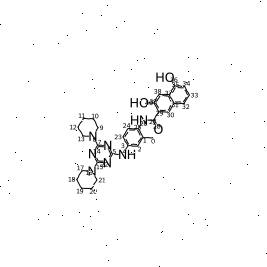 Cc1cc(Nc2nc(N3CCCCC3)nc(N3CCCCC3)n2)ccc1NC(=O)c1cc2cccc(O)c2cc1O